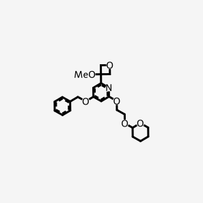 COC1(c2cc(OCc3ccccc3)cc(OCCOC3CCCCO3)n2)COC1